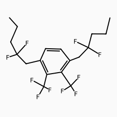 CCCC(F)(F)Cc1ccc(CC(F)(F)CCC)c(C(F)(F)F)c1C(F)(F)F